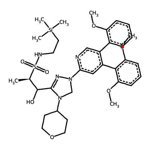 COc1ccccc1-c1cnc(N2CN(C3CCOCC3)C(C(O)[C@@H](C)S(=O)(=O)NCC[Si](C)(C)C)=N2)cc1-c1c(OC)cccc1OC